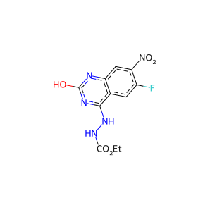 CCOC(=O)NNc1nc(O)nc2cc([N+](=O)[O-])c(F)cc12